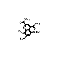 CCOc1cc(NC(C)=O)c2c(C(=O)OC)cc(C(=O)OC)nc2c1OCC